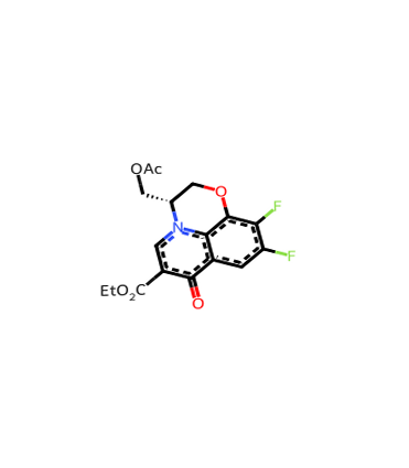 CCOC(=O)c1cn2c3c(c(F)c(F)cc3c1=O)OC[C@H]2COC(C)=O